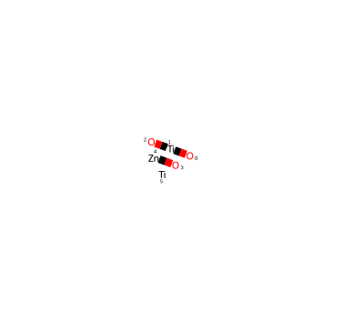 [O]=[Ti]=[O].[O]=[Zn].[Ti]